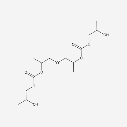 CC(O)COC(=O)OC(C)COCC(C)OC(=O)OCC(C)O